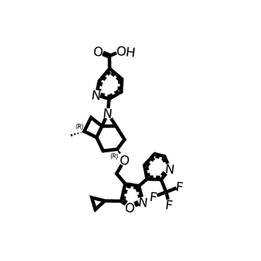 C[C@@H]1CC23C1C[C@@H](OCc1c(-c4cccnc4C(F)(F)F)noc1C1CC1)CC2N3c1ccc(C(=O)O)cn1